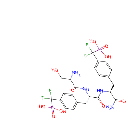 NC(=O)[C@H](Cc1ccc(C(F)(F)P(=O)(O)O)cc1)NC(=O)[C@H](Cc1ccc(C(F)(F)P(=O)(O)O)cc1)NC(=O)[C@@H](N)CO